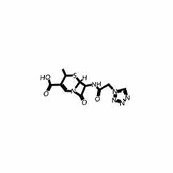 CC1S[C@@H]2C(NC(=O)Cn3cnnn3)C(=O)N2C=C1C(=O)O